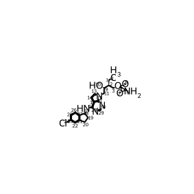 CC[C@@H](COS(N)(=O)=O)[C@@H](O)Cn1ccc2c(N[C@H]3CCc4cc(Cl)ccc43)ncnc21